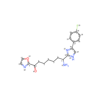 NC(CCCCCC(=O)c1ncco1)c1nc(-c2ccc(F)cc2)c[nH]1